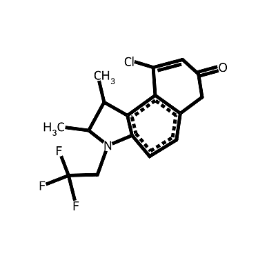 CC1c2c(ccc3c2C(Cl)=CC(=O)C3)N(CC(F)(F)F)C1C